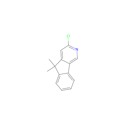 CC1(C)c2ccccc2-c2cnc(Cl)cc21